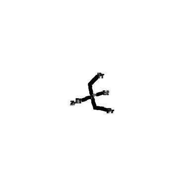 CC[N+](CC)(CC(C)C)CC(C)C.[Zr]